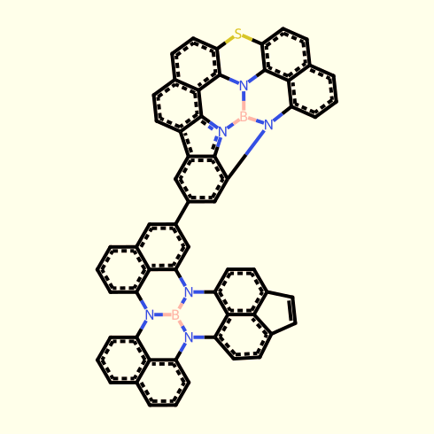 C1=Cc2ccc3c4c(ccc1c24)N1B2N(c4cccc5cccc1c45)c1cccc4cc(-c5cc6c7c(c5)c5ccc8ccc9c%10c8c5n7B5N%10c7c(ccc8cccc(c78)N56)S9)cc(c14)N23